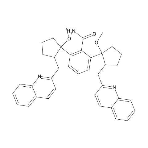 COC1(c2cccc(C3(OC)CCCC3Cc3ccc4ccccc4n3)c2C(N)=O)CCCC1Cc1ccc2ccccc2n1